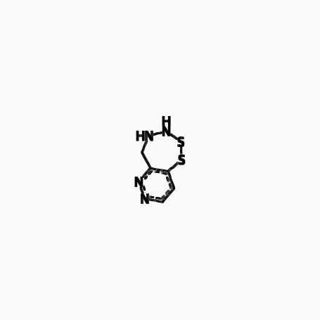 c1cc2c(nn1)CNNSS2